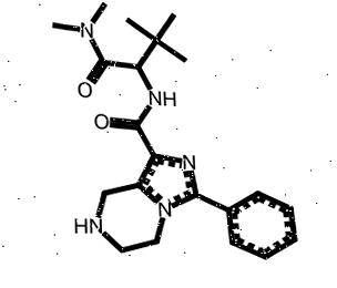 CN(C)C(=O)C(NC(=O)c1nc(-c2ccccc2)n2c1CNCC2)C(C)(C)C